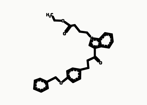 CCOC(=O)CCCn1cc(C(=O)CCc2ccc(OCc3ccccc3)cc2)c2ccccc21